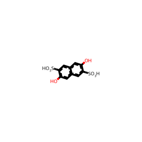 O=S(=O)(O)c1cc2cc(O)c(S(=O)(=O)O)cc2cc1O